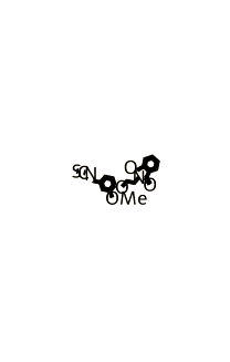 COc1cc(CN=C=S)ccc1OCCN1C(=O)c2ccccc2C1=O